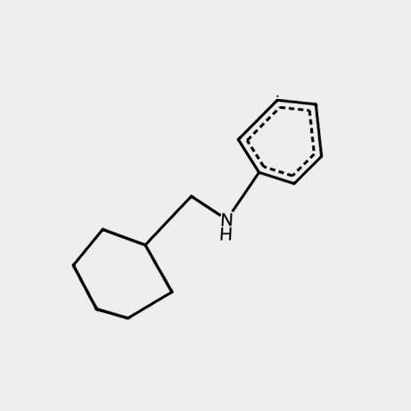 [c]1cccc(NCC2CCCCC2)c1